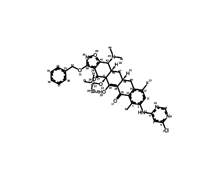 Cc1c(Nc2cc(Cl)ncn2)cc(F)c2c1C(=O)C1=C(O)[C@]3(O[Si](C)(C)C(C)(C)C)C(=O)c4c(OCc5ccccc5)noc4[C@@H](N(C)C)[C@@H]3C[C@@H]1C2